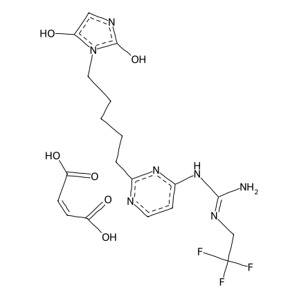 NC(=NCC(F)(F)F)Nc1ccnc(CCCCCn2c(O)cnc2O)n1.O=C(O)/C=C\C(=O)O